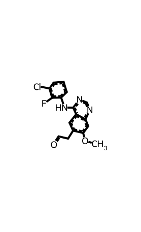 COc1cc2ncnc(Nc3cccc(Cl)c3F)c2cc1CC=O